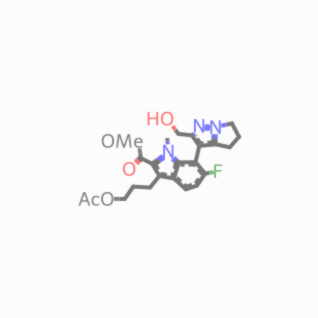 COC(=O)c1c(CCCOC(C)=O)c2ccc(F)c(-c3c(CO)nn4c3CCC4)c2n1C